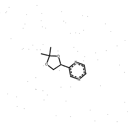 CC1(C)OCC(c2cn[c]cn2)O1